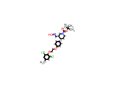 Cc1cc(Cl)c(OCCOc2ccc([C@H]3CCN(C(=O)OC(C)(C)C)C[C@@H]3/C=N/O)cc2)c(Cl)c1